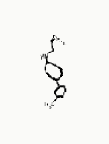 C=CCNc1ccc(C2=CC(C)=CC[CH]2)cc1